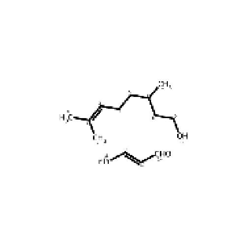 CC(C)=CCCC(C)CCO.CCC/C=C/C=O